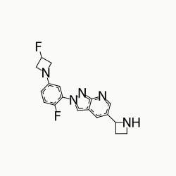 Fc1ccc(N2CC(F)C2)cc1-n1cc2cc(C3CCN3)cnc2n1